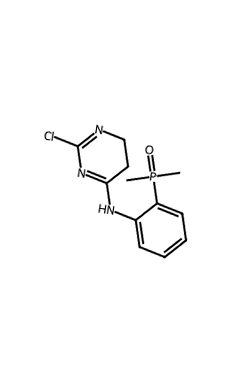 CP(C)(=O)c1ccccc1NC1=NC(Cl)=NCC1